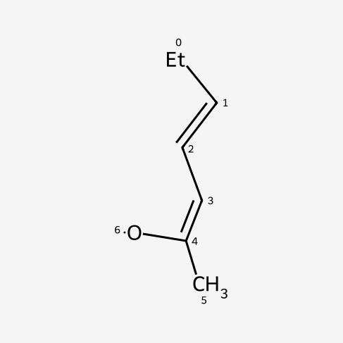 CCC=CC=C(C)[O]